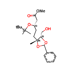 COC(=O)C[C@H](CC[C@@]1(C)OC(c2ccccc2)O[C@H]1CO)O[Si](C)(C)C(C)(C)C